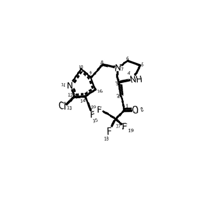 O=C(C=C1NCCN1Cc1cnc(Cl)c(F)c1)C(F)(F)F